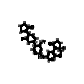 CC(C)c1cc(Nc2cnc3c(c2)N2C(=O)CC[C@H]2CO3)ncc1-c1ccc(N2CCCC2=O)c(F)c1